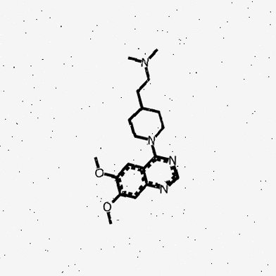 COc1cc2ncnc(N3CCC(CCN(C)C)CC3)c2cc1OC